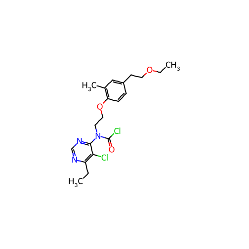 CCOCCc1ccc(OCCN(C(=O)Cl)c2ncnc(CC)c2Cl)c(C)c1